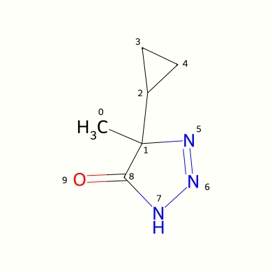 CC1(C2CC2)N=NNC1=O